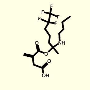 C=C(CC(=O)O)C(=O)OC(C)(CCCC(F)(F)C(F)(F)F)NCCCC